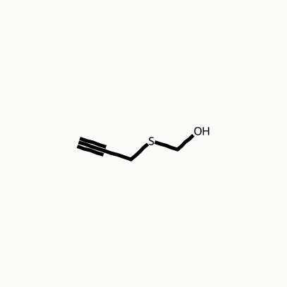 C#CCSCO